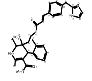 COC(=O)C1=C(C)NC(C)C(CCOC(=O)C=Cc2ccc(Cc3ncc[nH]3)cc2)(C(=O)O)C1c1ccccc1F